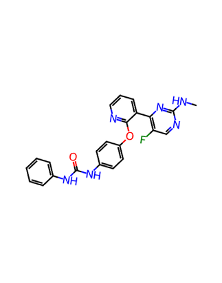 CNc1ncc(F)c(-c2cccnc2Oc2ccc(NC(=O)Nc3ccccc3)cc2)n1